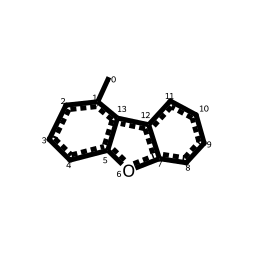 [CH2]c1cccc2oc3ccccc3c12